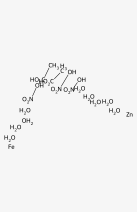 CC(=O)O.CC(=O)O.O.O.O.O.O.O.O.O.O.O=[N+]([O-])O.O=[N+]([O-])O.O=[N+]([O-])O.[Fe].[Zn]